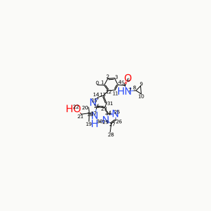 Cc1ccc(C(=O)NC2CC2)cc1-c1cnc(NC(C)(C)CO)c(-c2ncc(C)n2C)c1